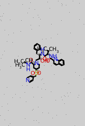 CC(C)[C@H](NC(=O)c1ccc2ccccc2n1)C(=O)N[C@@H](Cc1ccccc1)[C@H](O)CN1CC[C@@H](S(=O)(=O)Cc2ccncc2)CC1C(=O)NC(C)(C)C